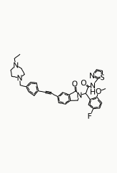 CCN1CCN(Cc2ccc(C#Cc3ccc4c(c3)C(=O)N(C(C(=O)Nc3nccs3)c3cc(F)ccc3OC)C4)cc2)CC1